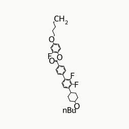 C=CCCCOc1ccc(OC(=O)c2ccc(-c3ccc(C4CCC(OCCCC)CC4)c(F)c3F)cc2)c(F)c1